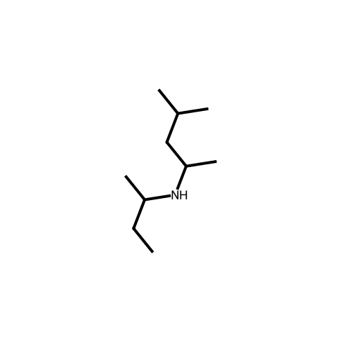 CCC(C)NC(C)CC(C)C